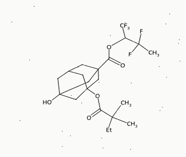 CCC(C)(C)C(=O)OC12CC3CC(O)(C1)CC(C(=O)OC(C(C)(F)F)C(F)(F)F)(C3)C2